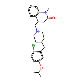 CC(C)Oc1ccc(Br)c(CC2CCN(CC3CC(=O)N(C)c4ccccc43)CC2)c1